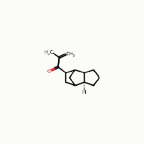 C=C(C)C(=O)C1CC2CC1C1CCC[C@@H]21